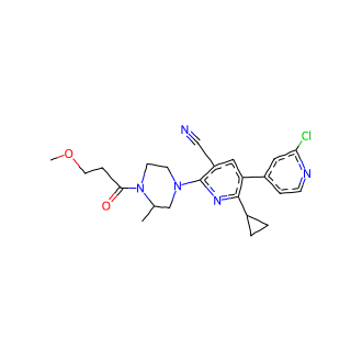 COCCC(=O)N1CCN(c2nc(C3CC3)c(-c3ccnc(Cl)c3)cc2C#N)CC1C